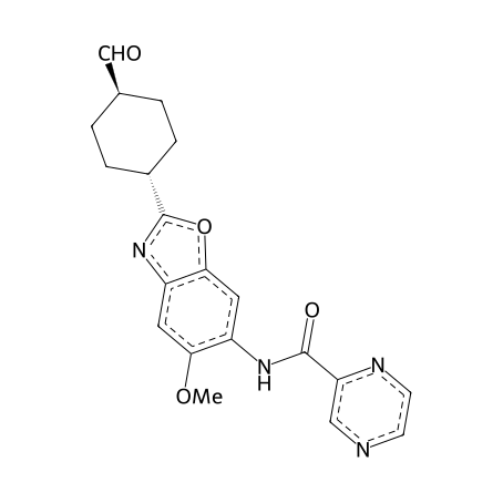 COc1cc2nc([C@H]3CC[C@H](C=O)CC3)oc2cc1NC(=O)c1cnccn1